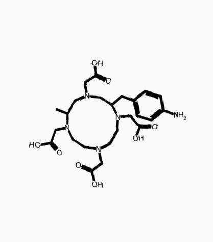 CC1CN(CC(=O)O)CC(Cc2ccc(N)cc2)N(CC(=O)O)CCN(CC(=O)O)CCN1CC(=O)O